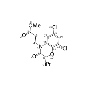 COC(=O)CCN1C(=O)[C@@H](C(C)C)Oc2c(Cl)cc(Cl)cc21